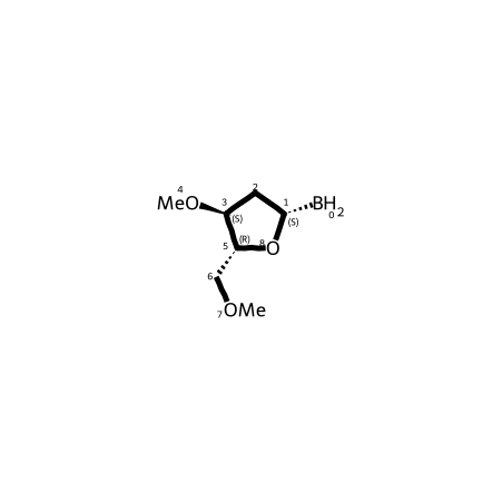 B[C@H]1C[C@H](OC)[C@@H](COC)O1